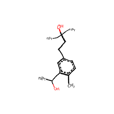 CCCC(O)c1cc(CCC(O)(CCC)CCC)ccc1C